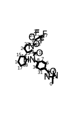 Cc1noc(-c2ccc(NC(=O)[C@@H]3[C@H](C4CCCCC4)CCN3OC(=O)C(F)(F)F)cc2)n1